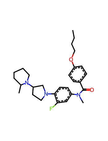 CCCCOc1ccc(C(=O)N(C)c2ccc(N3CCC(N4CCCCC4C)C3)c(F)c2)cc1